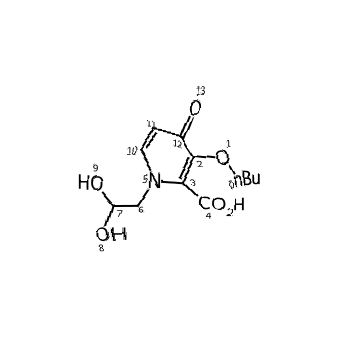 CCCCOc1c(C(=O)O)n(CC(O)O)ccc1=O